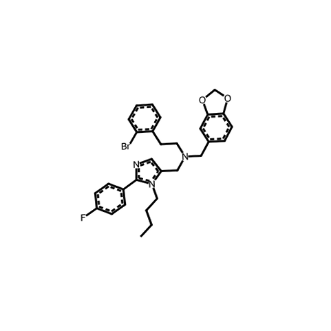 CCCCn1c(CN(CCc2ccccc2Br)Cc2ccc3c(c2)OCO3)cnc1-c1ccc(F)cc1